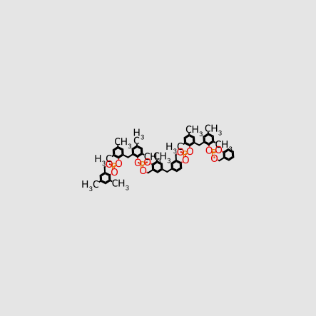 Cc1cc(C)c(OP2OCc3ccccc3O2)c(Cc2cc(C)cc(C)c2OP2OCc3cc(Cc4cc(C)c5c(c4)COP(Oc4c(C)cc(C)cc4Cc4cc(C)cc(C)c4OP4OCc6cc(C)cc(C)c6O4)O5)ccc3O2)c1